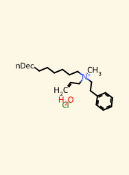 C=CC[N+](C)(CCCCCCCCCCCCCCCC)CCc1ccccc1.O.[Cl-]